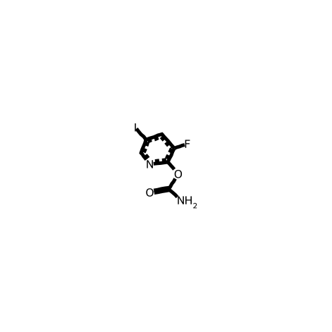 NC(=O)Oc1ncc(I)cc1F